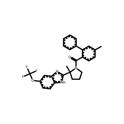 Cc1ccc(C(=O)N2CCCC2(C)c2nc3cc(OC(F)(F)F)ccc3[nH]2)c(-c2ccccc2)c1